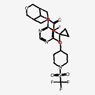 CC1(OC(=O)N2CC3COCC(C2)C3Oc2ncnc(OC3CCN(S(=O)(=O)C(F)(F)F)CC3)c2F)CC1